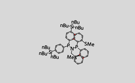 CCCC[Si](CCCC)(CCCC)c1ccc(P(c2ccc([Si](CCCC)(CCCC)CCCC)cc2)N(Cc2ccccc2)P(c2ccccc2SC)c2ccccc2SC)cc1